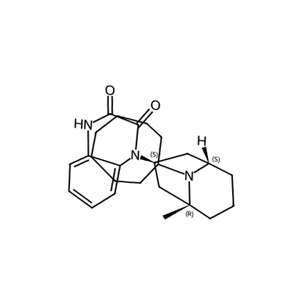 C[C@@]12CCC[C@@H](C[C@H](n3c(=O)c(=O)[nH]c4ccccc43)C1)N2C1CCCCCCC1